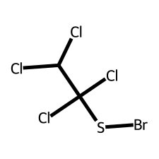 ClC(Cl)C(Cl)(Cl)SBr